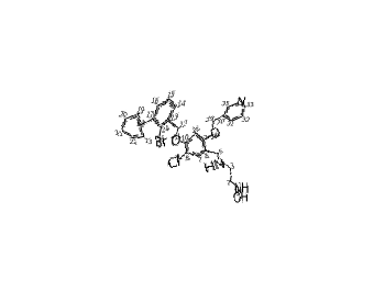 ONCCNCc1cc(Cl)c(OCc2cccc(-c3ccccc3)c2Br)cc1OCc1cccnc1